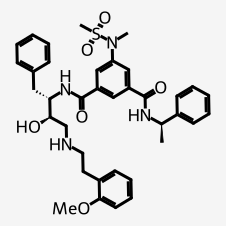 COc1ccccc1CCNC[C@@H](O)[C@H](Cc1ccccc1)NC(=O)c1cc(C(=O)N[C@H](C)c2ccccc2)cc(N(C)S(C)(=O)=O)c1